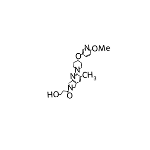 COc1ccc(OC2CCN(c3nc4c(cc3C)CN(C(=O)CCO)C4)CC2)cn1